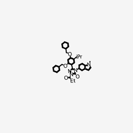 CCC(=O)n1nc(-c2cc(C(C)C)c(OCc3ccccc3)cc2OCc2ccccc2)n(-c2ccc3c(ccn3C)c2)c1=O